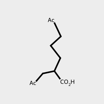 CC(=O)CCCC(CC(C)=O)C(=O)O